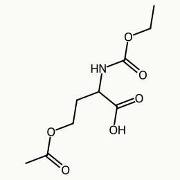 CCOC(=O)NC(CCOC(C)=O)C(=O)O